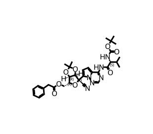 CC(C)[C@H](NC(=O)OC(C)(C)C)C(=O)Nc1ncnn2c([C@]3(C#N)O[C@H](COC(=O)Cc4ccccc4)[C@H]4OC(C)(C)O[C@H]43)ccc12